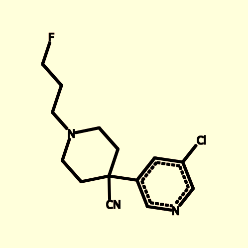 N#CC1(c2cncc(Cl)c2)CCN(CCCF)CC1